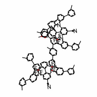 Cc1cccc(-c2ccc3c(c2)c2cc(-c4cccc(C)c4)ccc2n3-c2cc(C#N)cc(-n3c4ccc(-c5cccc(C)c5)cc4c4cc(-c5ccc(-c6cc(-c7cccc(C)c7)cc7c6c6ccc(-c8cccc(C)c8)cc6n7-c6cc(C#N)cc(-n7c8cc(-c9cccc(C)c9)ccc8c8ccc(-c9cccc(C)c9)cc87)c6-c6c(C(F)(F)F)ccc7c6C7)c(C)c5)ccc43)c2-c2c(C(F)(F)F)cccc2C(F)(F)F)c1